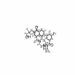 Cc1c(F)cc(C(=O)NC2CC2)cc1-c1ccc2c(=O)n(CC(C)(C)CO)cc(C(C)N3CCCNCC3)c2c1